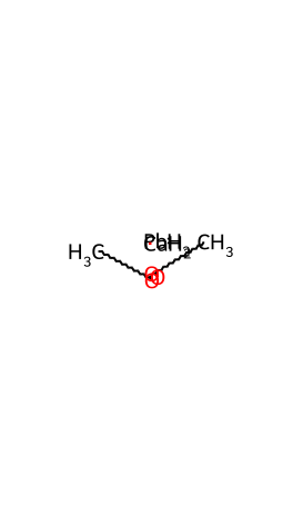 CCCCCCCCCCCCCCCCCC(=O)OC(=O)CCCCCCCCCCCCCCCCC.[CaH2].[PbH2]